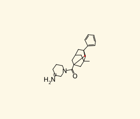 CC12CC3CC(C(=O)N4CCC[C@H](N)C4)(C1)CC(c1ccccc1)(C3)C2